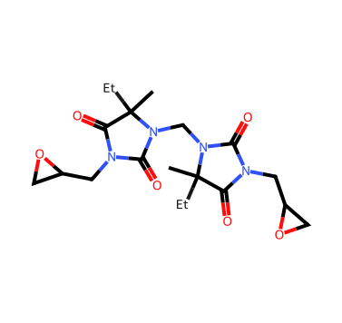 CCC1(C)C(=O)N(CC2CO2)C(=O)N1CN1C(=O)N(CC2CO2)C(=O)C1(C)CC